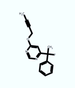 CC#CCOc1cc(C(C)(F)c2ccccc2)ncn1